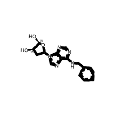 O[C@@H]1CC(n2cnc3c(NCc4ccccc4)ncnc32)O[C@@H]1O